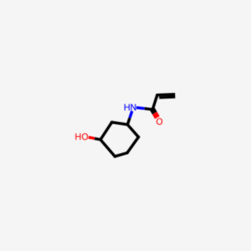 C=CC(=O)NC1CCCC(O)C1